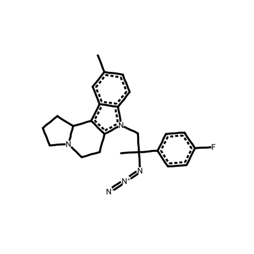 Cc1ccc2c(c1)c1c(n2CC(C)(N=[N+]=[N-])c2ccc(F)cc2)CCN2CCCC12